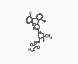 C[C@]1(F)CN(C2=NOC(c3c(F)cccc3-c3c(F)cccc3F)C2)CC1C=NS(C)(=O)=O